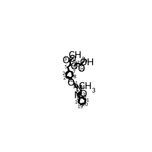 COC(=O)C(Cc1ccc(OCCN(C)c2nc3ccccc3o2)cc1)OCC(=O)O